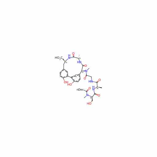 CCCCCCCCCCC(=O)N(C)[C@H](CO)C(=O)N[C@H](C)C(=O)NCC(=O)N(C)[C@@H]1C(=O)N[C@@H](C)C(=O)N[C@H](C(=O)O)Cc2ccc(O)c(c2)-c2cc1ccc2O